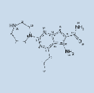 CCCc1cc(N2CCCNCC2)nc2sc(C(N)=O)c(N)c12